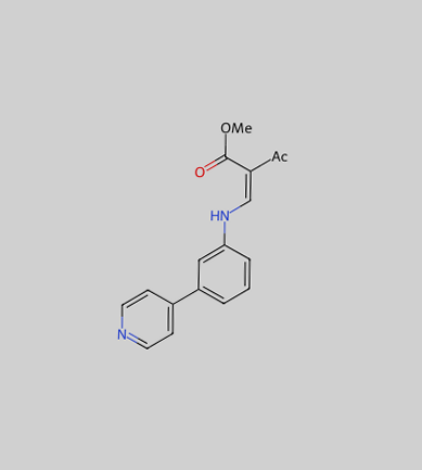 COC(=O)/C(=C\Nc1cccc(-c2ccncc2)c1)C(C)=O